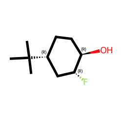 CC(C)(C)[C@@H]1CC[C@@H](O)[C@H](F)C1